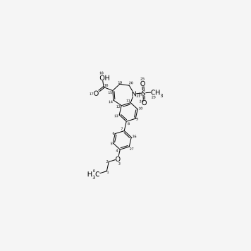 CCCOc1ccc(-c2ccc3c(c2)C=C(C(=O)O)CCN3S(C)(=O)=O)cc1